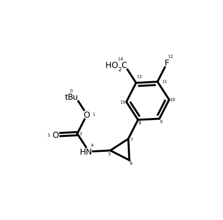 CC(C)(C)OC(=O)NC1CC1c1ccc(F)c(C(=O)O)c1